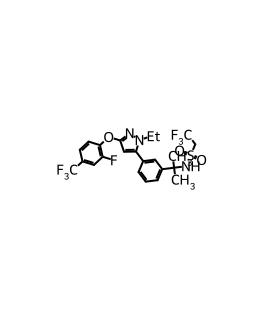 CCn1nc(Oc2ccc(C(F)(F)F)cc2F)cc1-c1cccc(C(C)(C)NS(=O)(=O)CC(F)(F)F)c1